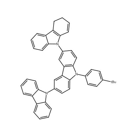 CC(C)(C)c1ccc(-n2c3ccc(-n4c5c(c6ccccc64)CCC=C5)cc3c3cc(-n4c5ccccc5c5ccccc54)ccc32)cc1